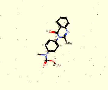 CCCCc1nc2ccccc2c(=O)n1-c1ccc(N(C)C(=O)OC(C)(C)C)cc1